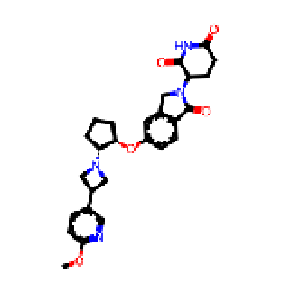 COc1ccc(C2CN([C@@H]3CCC[C@H]3Oc3ccc4c(c3)CN(C3CCC(=O)NC3=O)C4=O)C2)cn1